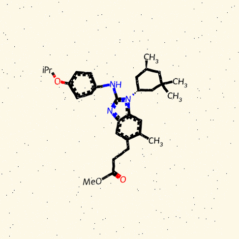 COC(=O)CCc1cc2nc(Nc3ccc(OC(C)C)cc3)n([C@@H]3C[C@@H](C)CC(C)(C)C3)c2cc1C